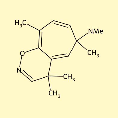 CNC1(C)C=CC(C)=C2ON=CC(C)(C)C2=C1